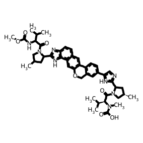 COC(=O)NC(C(=O)N1CC(C)CC1c1nc2ccc3cc4c(cc3c2[nH]1)OCc1cc(-c2cnc(C3C[C@H](C)CN3C(=O)[C@H](C(C)C)N(C)C(=O)O)[nH]2)ccc1-4)C(C)C